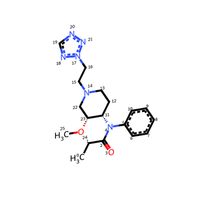 CCC(=O)N(c1ccccc1)[C@H]1CCN(CCn2ncnn2)C[C@H]1OC